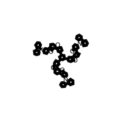 c1ccc2c(c1)c1ccccc1n2-c1ccc2oc3c(ccc4oc5ccc(-c6cc(-c7ccc8oc9ccc%10c%11cc(-n%12c%13ccccc%13c%13ccccc%13%12)ccc%11oc%10c9c8c7)cc(-c7ccc8oc9ccc%10c%11cc(-n%12c%13ccccc%13c%13ccccc%13%12)ccc%11oc%10c9c8c7)c6)cc5c43)c2c1